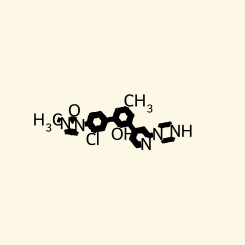 Cc1cc(-c2ccnc(N3CCNCC3)c2)c(O)c(-c2ccc(-n3ccn(C)c3=O)c(Cl)c2)c1